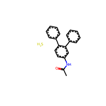 CC(=O)Nc1ccc(-c2ccccc2)c(-c2ccccc2)c1.S